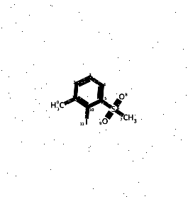 Cc1cccc(S(C)(=O)=O)c1I